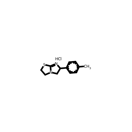 Cc1ccc(C2CN3CCSC3=N2)cc1.Cl